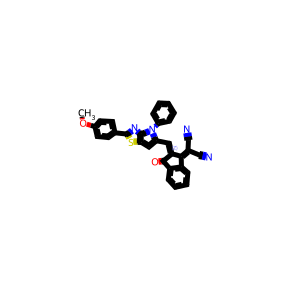 COc1ccc(-c2nc3c(cc(/C=C4\C(=O)c5ccccc5C4=C(C#N)C#N)n3-c3ccccc3)s2)cc1